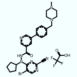 CN1CCN(Cc2ccc(-c3cncc(C(=O)NN(c4nc(C#N)ncc4Br)C4CCCC4)c3)cc2)CC1.O=C(O)C(F)(F)F